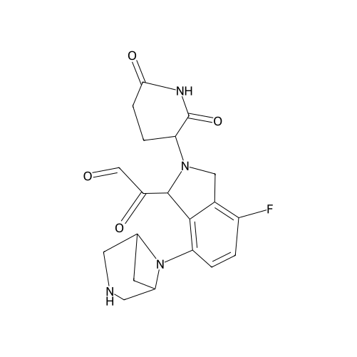 O=CC(=O)C1c2c(N3C4CNCC3C4)ccc(F)c2CN1C1CCC(=O)NC1=O